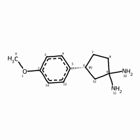 COc1ccc([C@@H]2CCC(N)(N)C2)cc1